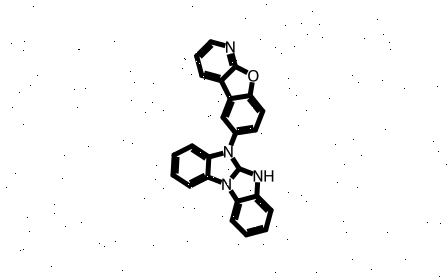 c1ccc2c(c1)NC1N(c3ccc4oc5ncccc5c4c3)c3ccccc3N21